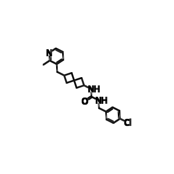 Cc1ncccc1CC1CC2(C1)CC(NC(=O)NCc1ccc(Cl)cc1)C2